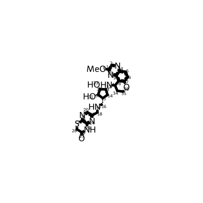 COc1cnc2ccc3c(c2n1)C(N[C@@H]1C[C@H](CNCc2cnc4c(n2)NC(=O)CS4)[C@H](O)[C@@H]1O)CCO3